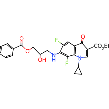 CCOC(=O)c1cn(C2CC2)c2c(F)c(NCC(O)COC(=O)c3ccccc3)c(F)cc2c1=O